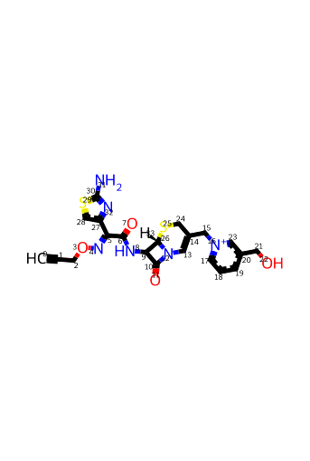 C#CCON=C(C(=O)NC1C(=O)N2C=C(C[n+]3cccc(CO)c3)CS[C@@H]12)c1csc(N)n1